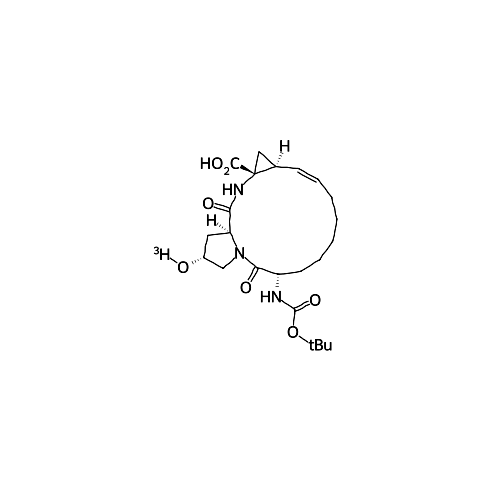 [3H]O[C@@H]1C[C@H]2C(=O)N[C@]3(C(=O)O)C[C@H]3/C=C\CCCCC[C@H](NC(=O)OC(C)(C)C)C(=O)N2C1